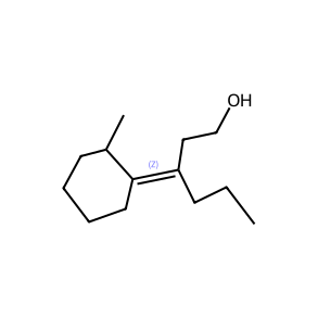 CCC/C(CCO)=C1\CCCCC1C